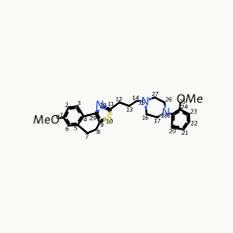 COc1ccc2c(c1)CCc1sc(CCCN3CCN(c4ccccc4OC)CC3)nc1-2